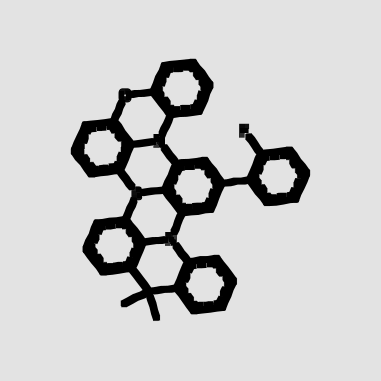 CC1(C)c2ccccc2N2c3cc(-c4ccccc4F)cc4c3B(c3cccc5c3N4c3ccccc3O5)c3cccc1c32